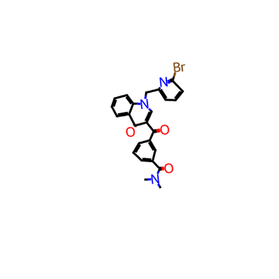 CN(C)C(=O)c1cccc(C(=O)c2cn(Cc3cccc(Br)n3)c3ccccc3c2=O)c1